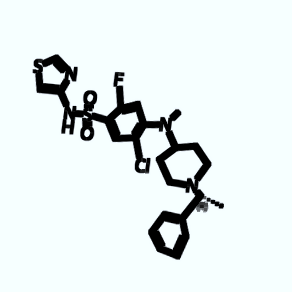 C[C@H](c1ccccc1)N1CCC(N(C)c2cc(F)c(S(=O)(=O)Nc3cscn3)cc2Cl)CC1